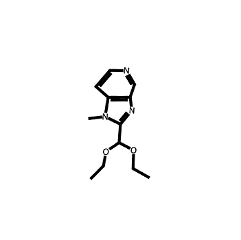 CCOC(OCC)c1nc2cnccc2n1C